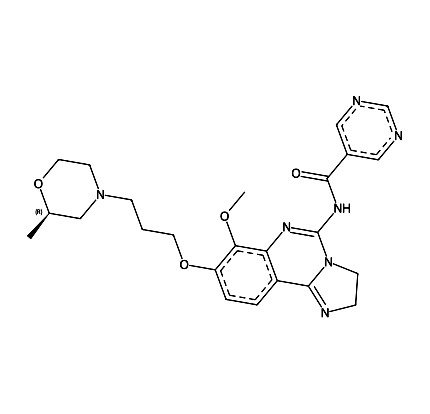 COc1c(OCCCN2CCO[C@H](C)C2)ccc2c1N=C(NC(=O)c1cncnc1)N1CCN=C21